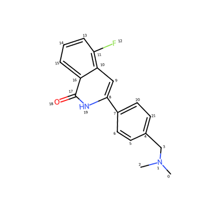 CN(C)Cc1ccc(-c2cc3c(F)cccc3c(=O)[nH]2)cc1